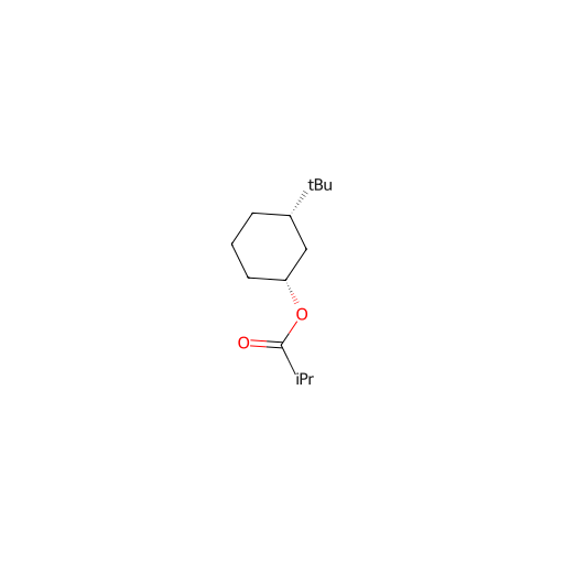 CC(C)C(=O)O[C@@H]1CCC[C@H](C(C)(C)C)C1